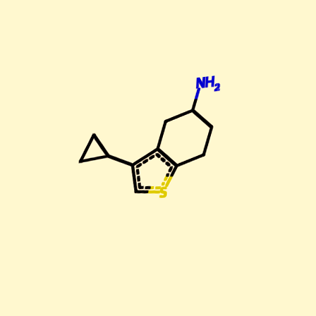 NC1CCc2scc(C3CC3)c2C1